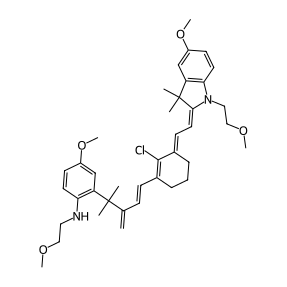 C=C(/C=C/C1=C(Cl)C(=C/C=C2/N(CCOC)c3ccc(OC)cc3C2(C)C)/CCC1)C(C)(C)c1cc(OC)ccc1NCCOC